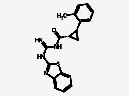 Cc1ccccc1[C@H]1C[C@@H]1C(=O)NC(=N)Nc1nc2ccccc2s1